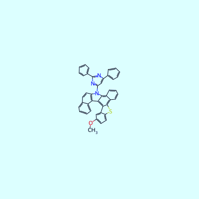 COc1ccc2sc3c4ccccc4c4c(c3c2c1)c1c2ccccc2ccc1n4-c1cc(-c2ccccc2)nc(-c2ccccc2)n1